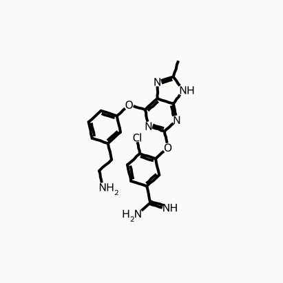 Cc1nc2c(Oc3cccc(CCN)c3)nc(Oc3cc(C(=N)N)ccc3Cl)nc2[nH]1